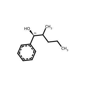 CCCC(C)[C@H](O)c1ccccc1